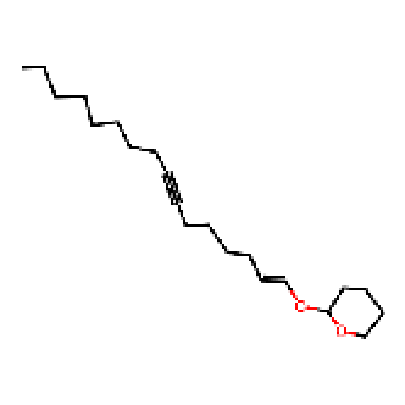 CCCCCCCCC#CCCCCC=COC1CCCCO1